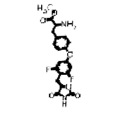 COC(=O)C(N)Cc1ccc(Oc2cc(F)c(C=C3OC(=O)NC3=O)c(F)c2)cc1